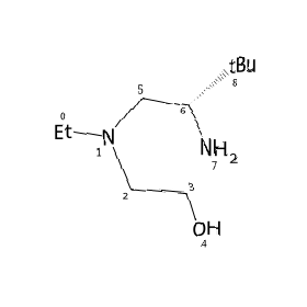 CCN(CCO)C[C@@H](N)C(C)(C)C